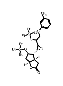 CC[Si](CC)(CC)OC(COc1cccc(C(F)(F)F)c1)C1O[C@@H]1[C@@H]1[C@H]2CC(=O)O[C@H]2C[C@H]1O[Si](CC)(CC)CC